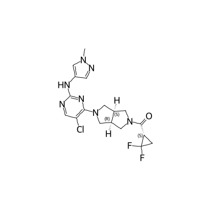 Cn1cc(Nc2ncc(Cl)c(N3C[C@H]4CN(C(=O)[C@@H]5CC5(F)F)C[C@H]4C3)n2)cn1